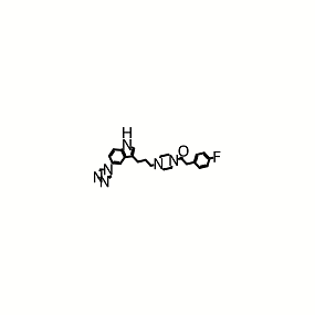 O=C(Cc1ccc(F)cc1)N1CCN(CCCc2c[nH]c3ccc(-n4cnnc4)cc23)CC1